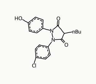 CCCCC1C(=O)N(c2ccc(O)cc2)N(c2ccc(Cl)cc2)C1=O